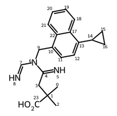 CC(C)(CC(=N)N(C=N)Cc1ccc(C2CC2)c2ccccc12)C(=O)O